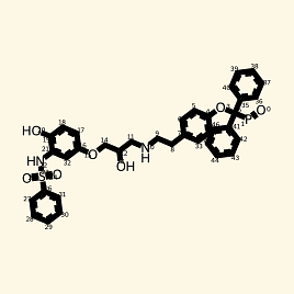 O=PC(Oc1ccc(CCNCC(O)COc2ccc(O)c(NS(=O)(=O)c3ccccc3)c2)cc1)(c1ccccc1)c1ccccc1